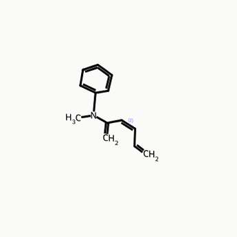 C=C/C=C\C(=C)N(C)C1=CC=C=C=C1